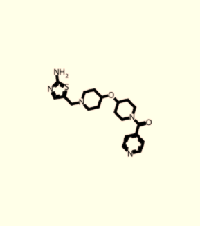 Nc1ncc(CN2CCC(OC3CCN(C(=O)c4ccncc4)CC3)CC2)s1